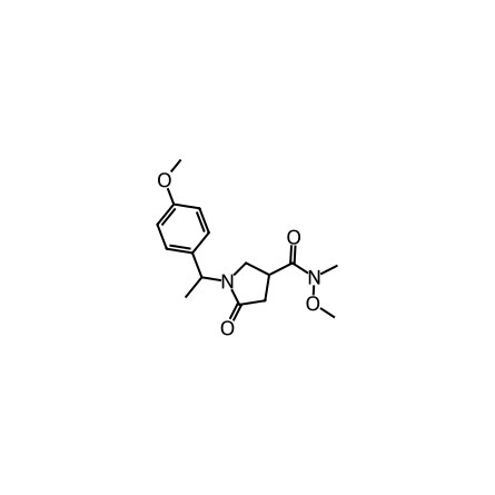 COc1ccc(C(C)N2CC(C(=O)N(C)OC)CC2=O)cc1